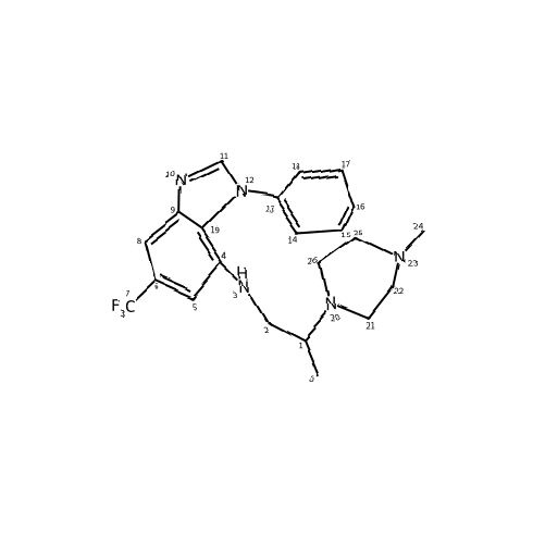 CC(CNc1cc(C(F)(F)F)cc2ncn(-c3ccccc3)c12)N1CCN(C)CC1